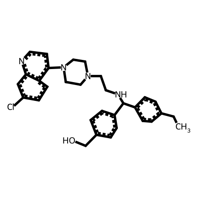 CCc1ccc(C(NCCN2CCN(c3ccnc4cc(Cl)ccc34)CC2)c2ccc(CO)cc2)cc1